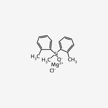 Cc1ccccc1[Si](C)([O-])c1ccccc1C.[Cl-].[Mg+2]